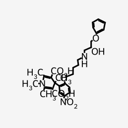 CC1=C(C(=O)O)C(C)(c2cc([N+](=O)[O-])ccc2OCCCCNC[C@H](O)COc2ccccc2)C(C(=O)O)=C(C)N1C